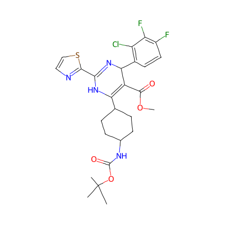 COC(=O)C1=C(C2CCC(NC(=O)OC(C)(C)C)CC2)NC(c2nccs2)=NC1c1ccc(F)c(F)c1Cl